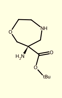 CC(C)(C)OC(=O)[C@@]1(N)CNCCOC1